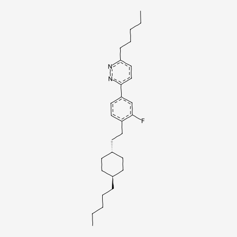 CCCCCc1ccc(-c2ccc(CC[C@H]3CC[C@H](CCCCC)CC3)c(F)c2)nn1